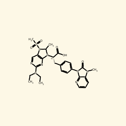 CCN(CC)c1ncc2c(n1)N([C@@H](Cc1ccc(-n3c(=O)n(C)c4cccnc43)cc1)C(=O)O)C(C)N2S(C)(=O)=O